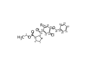 CCOC(=O)[C@@H]1CCC[C@H]1C(=O)c1cc(Cl)c(OCc2ccccc2)cc1F